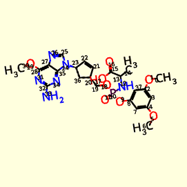 COc1cc(OC)cc(OP(=O)(NC(C)C(=O)O)OC[C@@H]2C=C[C@H](n3cnc4c(OC)nc(N)nc43)C2)c1